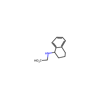 O=C(O)CNC1CCCc2ccccc21